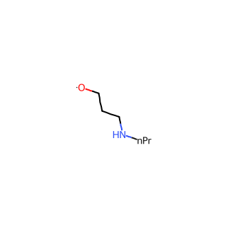 CCCNCCC[O]